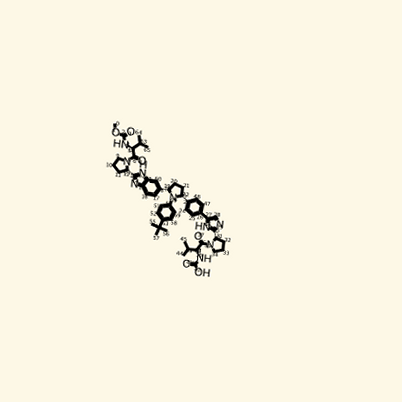 COC(=O)N[C@H](C(=O)N1CCC[C@H]1c1nc2ccc([C@@H]3CC[C@H](c4ccc(-c5cnc([C@@H]6CCCN6C(=O)[C@@H](NC(=O)O)C(C)C)[nH]5)cc4)N3c3ccc(C(C)(C)C)cc3)cc2[nH]1)C(C)C